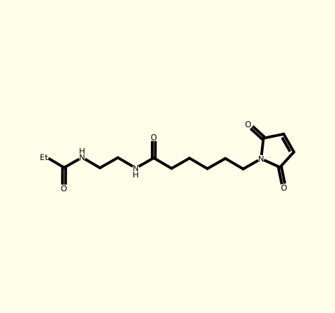 CCC(=O)NCCNC(=O)CCCCCN1C(=O)C=CC1=O